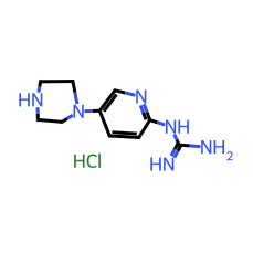 Cl.N=C(N)Nc1ccc(N2CCNCC2)cn1